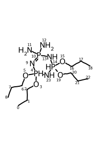 CCCO[PH]1(OCCC)N=P(N)(N)N[PH](OCCC)(OCCC)N1